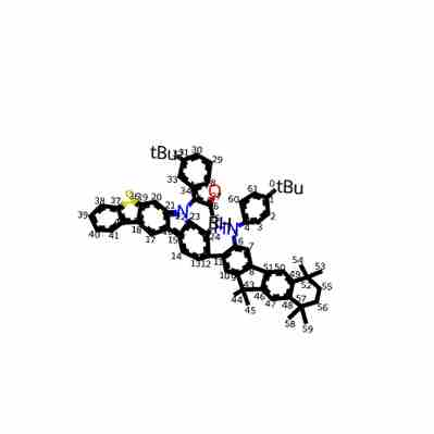 CC(C)(C)c1ccc(Nc2cc3c(cc2-c2ccc4c5cc6c(cc5n5c4c2Bc2oc4ccc(C(C)(C)C)cc4c2-5)sc2ccccc26)C(C)(C)c2cc4c(cc2-3)C(C)(C)CCC4(C)C)cc1